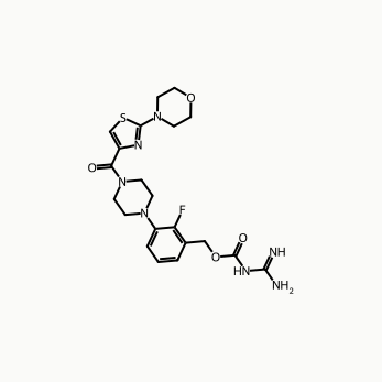 N=C(N)NC(=O)OCc1cccc(N2CCN(C(=O)c3csc(N4CCOCC4)n3)CC2)c1F